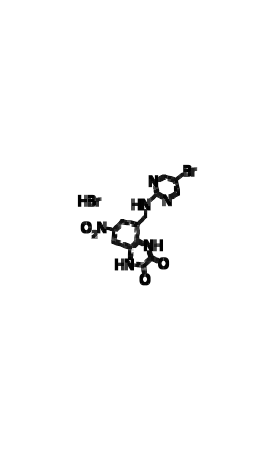 Br.O=c1[nH]c2cc([N+](=O)[O-])cc(CNc3ncc(Br)cn3)c2[nH]c1=O